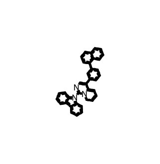 C1=CCN2C(=C1)C(c1cccc(-c3cccc4ccccc34)c1)=CN=C2n1c2ccccc2c2ccccc21